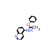 C=C(Nc1cccc2ncccc12)Oc1ccccc1